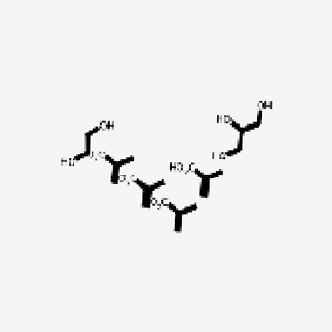 C=C(C)C(=O)O.C=C(C)C(=O)O.C=C(C)C(=O)O.C=C(C)C(=O)O.OCC(O)CO.OCCO